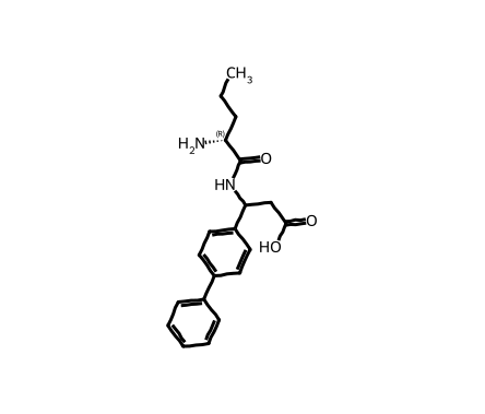 CCC[C@@H](N)C(=O)NC(CC(=O)O)c1ccc(-c2ccccc2)cc1